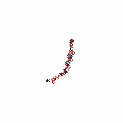 CCC(C)C(=O)OCCOCCOCCOc1ccc(C(=O)Oc2ccc(C(=O)Oc3ccc(C(=O)OCCCCOCC4CO4)cc3)cc2)cc1